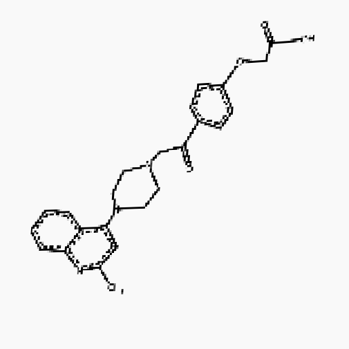 Cc1cc(N2CCN(CC(=O)c3ccc(OCC(=O)O)cc3)CC2)c2ccccc2n1